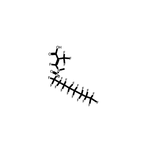 CN(C(F)=C(C(=O)O)C(F)(F)F)S(=O)(=O)C(F)(F)C(F)(F)C(F)(F)C(F)(F)C(F)(F)C(F)(F)C(F)(F)C(F)(F)F